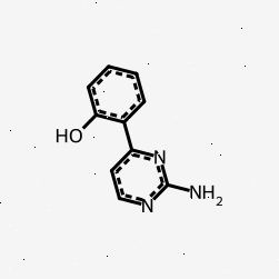 Nc1nccc(-c2ccccc2O)n1